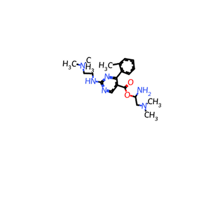 Cc1ccccc1-c1nc(NCCN(C)C)ncc1C(=O)OC(N)CN(C)C